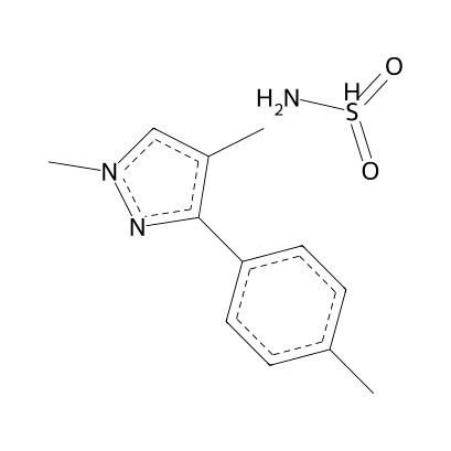 Cc1ccc(-c2nn(C)cc2C)cc1.N[SH](=O)=O